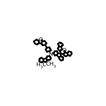 CC1(C)c2ccccc2-c2cc(N(c3ccc(-c4ccc5oc6ccccc6c5c4)cc3)c3ccc4c(c3)-c3ccccc3C43c4ccc5ccccc5c4Oc4c3ccc3ccccc43)ccc21